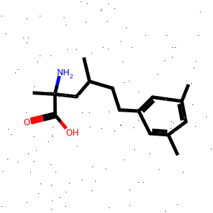 Cc1cc(C)cc(CCC(C)CC(C)(N)C(=O)O)c1